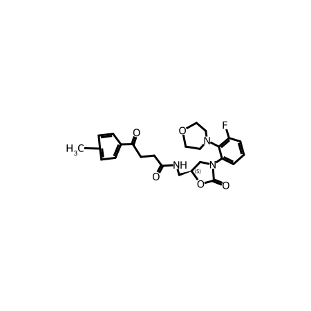 Cc1ccc(C(=O)CCC(=O)NC[C@H]2CN(c3cccc(F)c3N3CCOCC3)C(=O)O2)cc1